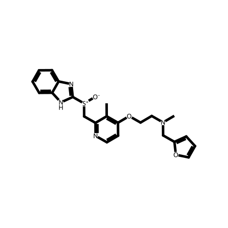 Cc1c(OCCN(C)Cc2ccco2)ccnc1C[S+]([O-])c1nc2ccccc2[nH]1